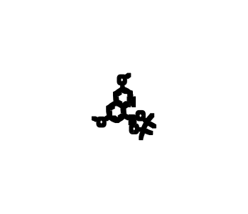 COc1cnc2c(B3OC(C)(C)C(C)(C)O3)cc(OC)cc2c1